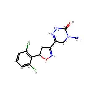 NN1CC(C2=NOC(c3c(Cl)cccc3Cl)C2)=NNC1=O